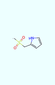 [CH2]S(=O)(=O)Cc1ccc[nH]1